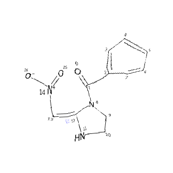 O=C(c1ccccc1)N1CCN/C1=C/[N+](=O)[O-]